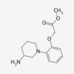 COC(=O)COc1ccccc1N1CCCC(N)C1